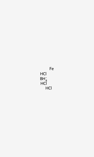 Cl.Cl.Cl.[BH4-].[Fe]